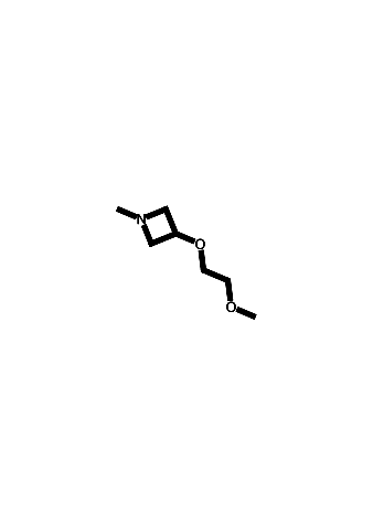 COCCOC1CN(C)C1